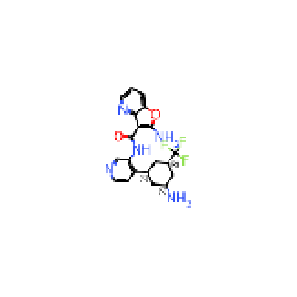 Nc1oc2cccnc2c1C(=O)Nc1cnccc1[C@@H]1C[C@H](N)C[C@H](C(F)(F)F)C1